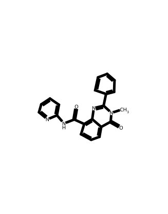 Cn1c(-c2ccccc2)nc2c(C(=O)Nc3ccccn3)cccc2c1=O